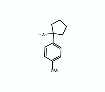 [CH2]C1(c2ccc(OC)cc2)CCCC1